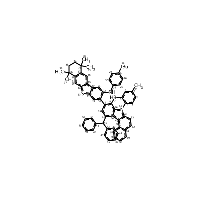 Cc1ccc2c(c1)Bc1c(-c3cc4sc5cc6c(cc5c4cc3Nc3ccc(C(C)(C)C)cc3)C(C)(C)CCC6(C)C)cc(C(c3ccccc3)c3ccccc3)c3c4c5ccccc5ccc4n-2c13